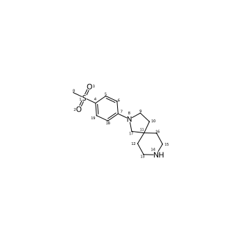 CS(=O)(=O)c1ccc(N2CCC3(CCNCC3)C2)cc1